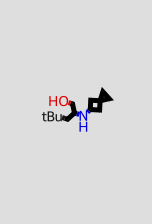 CC(C)(C)CC(CO)NC1CC2(CC2)C1